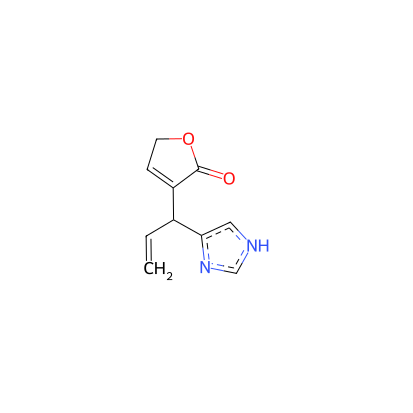 C=CC(C1=CCOC1=O)c1c[nH]cn1